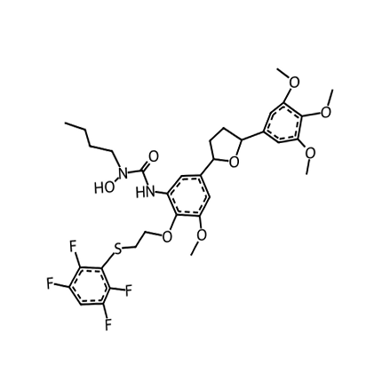 CCCCN(O)C(=O)Nc1cc(C2CCC(c3cc(OC)c(OC)c(OC)c3)O2)cc(OC)c1OCCSc1c(F)c(F)cc(F)c1F